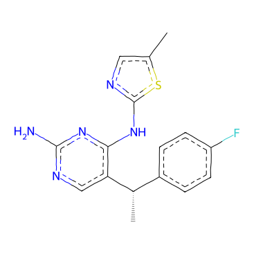 Cc1cnc(Nc2nc(N)ncc2[C@@H](C)c2ccc(F)cc2)s1